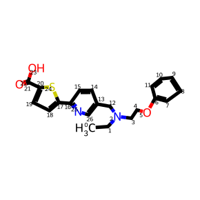 CCN(CCOc1ccccc1)Cc1ccc(-c2ccc(C(=O)O)s2)nc1